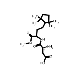 COC(=O)C(CCC1C(C)(C)CCC1(C)C)NC(=O)[C@@H](N)CC(=O)O